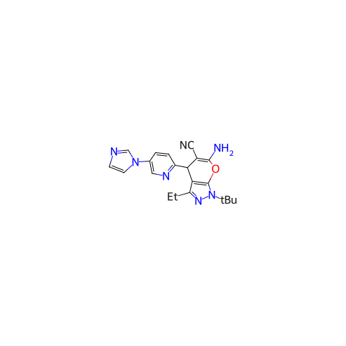 CCc1nn(C(C)(C)C)c2c1C(c1ccc(-n3ccnc3)cn1)C(C#N)=C(N)O2